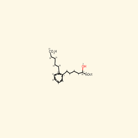 CCCCCCCC[C@H](O)CCCCc1ccccc1CCCCC(=O)O